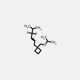 CC(C)OCC1(C/C=C/C(F)(F)C(C)C)CCC1